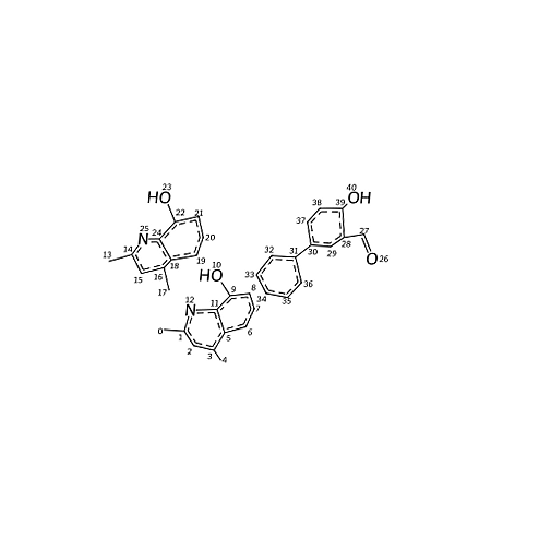 Cc1cc(C)c2cccc(O)c2n1.Cc1cc(C)c2cccc(O)c2n1.O=Cc1cc(-c2ccccc2)ccc1O